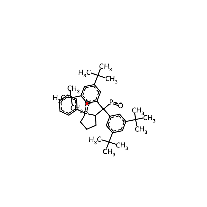 CC(C)(C)c1cc(C(C)(C)C)cc(C(P=O)(c2cc(C(C)(C)C)cc(C(C)(C)C)c2)C2CCCP2(=O)c2ccccc2)c1